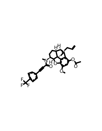 C=CCN1CC[C@]23c4c5c(OC(C)=O)cc(OC)c4O[C@H]2[C@@H](N(C)C(=O)C#Cc2ccc(C(F)(F)F)cc2)CC[C@H]3[C@H]1C5